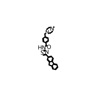 CN1CCN(Cc2ccc(C(=O)Nc3nc(-c4ccc5c(c4)Cc4ccccc4-5)cs3)cc2)CC1